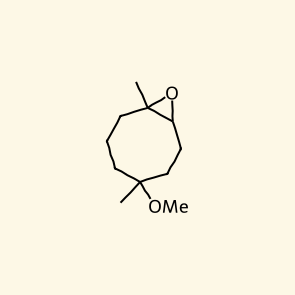 COC1(C)CCCC2(C)OC2CC1